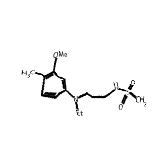 CCN(CCNS(C)(=O)=O)c1ccc(C)c(OC)c1